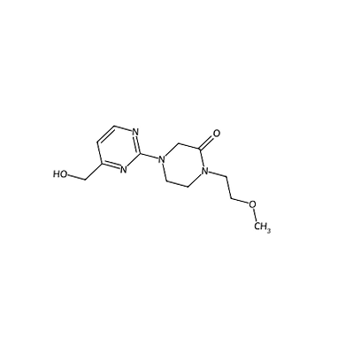 COCCN1CCN(c2nccc(CO)n2)CC1=O